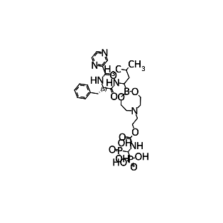 CC(C)CC(NC(=O)[C@H](Cc1ccccc1)NC(=O)c1cnccn1)B1OCCN(CCOC(=O)NC(P(=O)(O)O)P(=O)(O)O)CCO1